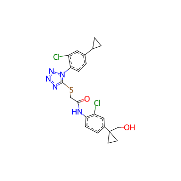 O=C(CSc1nnnn1-c1ccc(C2CC2)cc1Cl)Nc1ccc(C2(CO)CC2)cc1Cl